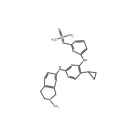 CN1CCc2ccc(Nc3ncc(C4CC4)c(Nc4cccc(N=S(C)(C)=O)n4)n3)cc2C1